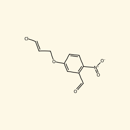 O=Cc1cc(OCC=CCl)ccc1[N+](=O)[O-]